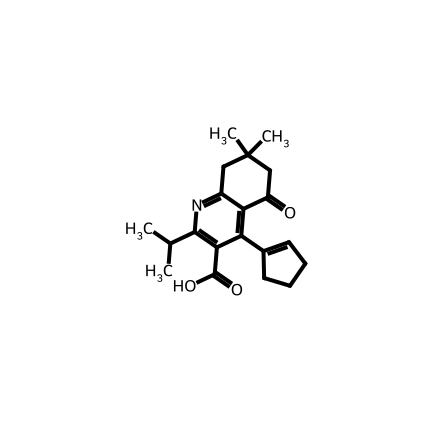 CC(C)c1nc2c(c(C3=CCCC3)c1C(=O)O)C(=O)CC(C)(C)C2